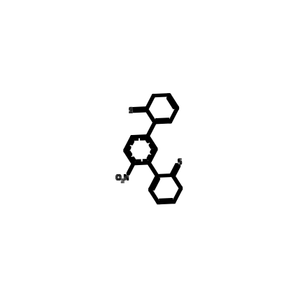 O=[N+]([O-])c1ccc(C2=CC=CCC2=S)cc1C1=CC=CCC1=S